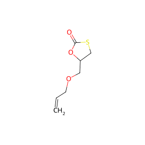 C=CCOCC1CSC(=O)O1